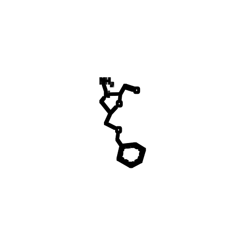 NN1CC(COCc2ccccc2)OC1C=O